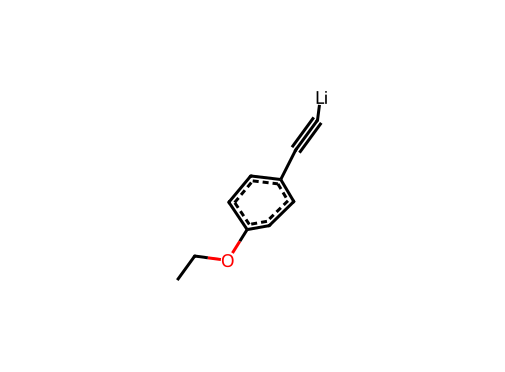 [Li][C]#Cc1ccc(OCC)cc1